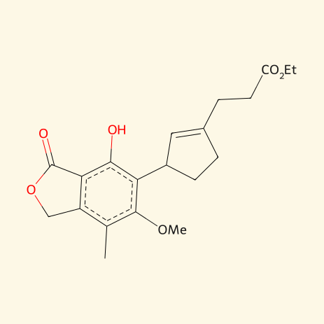 CCOC(=O)CCC1=CC(c2c(O)c3c(c(C)c2OC)COC3=O)CC1